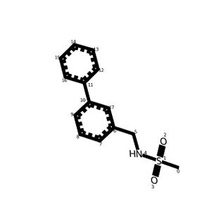 CS(=O)(=O)NCc1cccc(-c2cc[c]cc2)c1